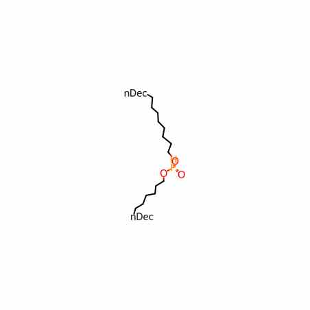 CCCCCCCCCCCCCCCCCCO[PH](=O)OCCCCCCCCCCCCCCCC